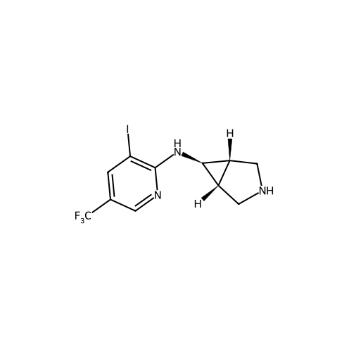 FC(F)(F)c1cnc(N[C@H]2[C@@H]3CNC[C@@H]32)c(I)c1